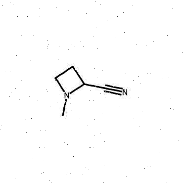 CN1CCC1C#N